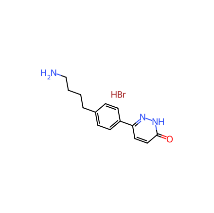 Br.NCCCCc1ccc(-c2ccc(=O)[nH]n2)cc1